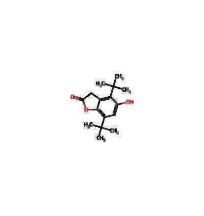 CC(C)(C)c1cc(O)c(C(C)(C)C)c2c1OC(=O)C2